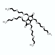 CCCOCCOCN1C(=O)N(COCCOCCC)C2C1N(COCCOCCC)C(=O)N2COCCOCCC